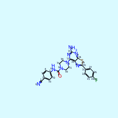 N#Cc1ccc(NC(=O)N2CCN(c3nc(N)nc4sc(-c5ccc(F)cc5)nc34)CC2)cc1